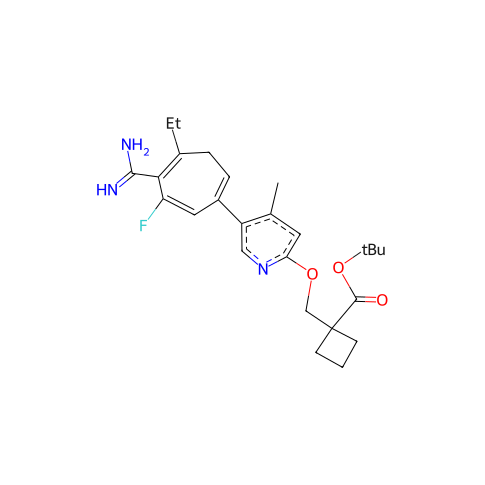 CCC1=C(C(=N)N)C(F)=CC(c2cnc(OCC3(C(=O)OC(C)(C)C)CCC3)cc2C)=CC1